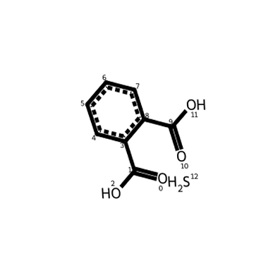 O=C(O)c1ccccc1C(=O)O.S